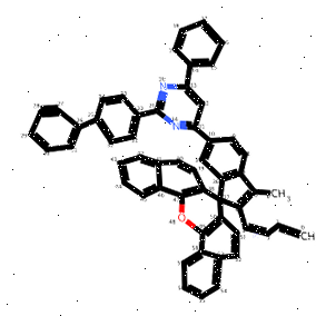 C=C/C=C\C1=C(C)c2ccc(-c3cc(-c4ccccc4)nc(-c4ccc(-c5c#cccc5)cc4)n3)cc2C12c1ccc3ccccc3c1Oc1c2ccc2ccccc12